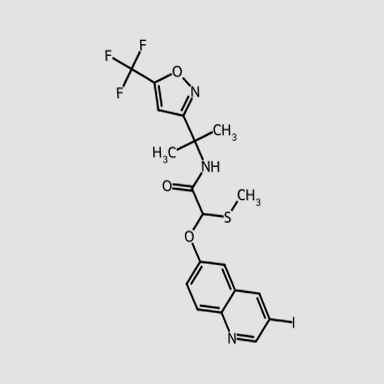 CSC(Oc1ccc2ncc(I)cc2c1)C(=O)NC(C)(C)c1cc(C(F)(F)F)on1